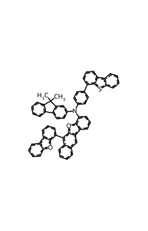 CC1(C)c2ccccc2-c2ccc(N(c3ccc(-c4cccc5c4sc4ccccc45)cc3)c3cccc4c3oc3c(-c5cccc6c5oc5ccccc56)c5ccccc5cc34)cc21